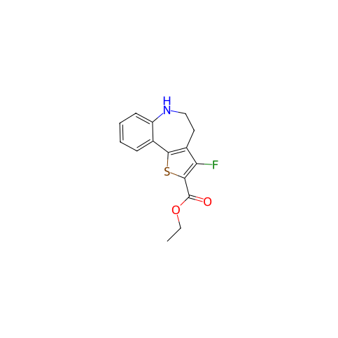 CCOC(=O)c1sc2c(c1F)CCNc1ccccc1-2